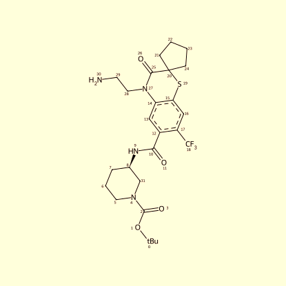 CC(C)(C)OC(=O)N1CCC[C@@H](NC(=O)c2cc3c(cc2C(F)(F)F)SC2(CCCC2)C(=O)N3CCN)C1